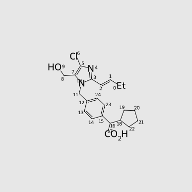 CCC=Cc1nc(Cl)c(CO)n1Cc1ccc(C(C(=O)O)C2CCCC2)cc1